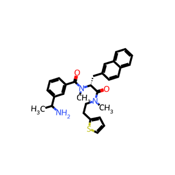 CC(N)c1cccc(C(=O)N(C)[C@H](Cc2ccc3ccccc3c2)C(=O)N(C)CCc2cccs2)c1